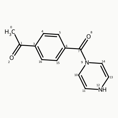 CC(=O)c1ccc(C(=O)N2C=CNC=C2)cc1